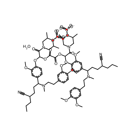 CCCC(C#N)CCC(c1ccc(OC(OC(=O)C(=O)OC(Oc2ccc(C(CCC(C#N)CCC)N(C)CCc3ccc(OC)c(OC)c3)cc2OC)C(=O)N(CC(C)O[N+](=O)[O-])CC(C)O[N+](=O)[O-])C(=O)N(CC(C)O[N+](=O)[O-])CC(C)O[N+](=O)[O-])c(OC)c1)N(C)CCc1ccc(OC)c(OC)c1.O